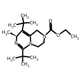 CCOC(=O)N1CCN2C(C(C)(C)C)=N[C@@H](C)C(C(C)(C)C)=C2C1